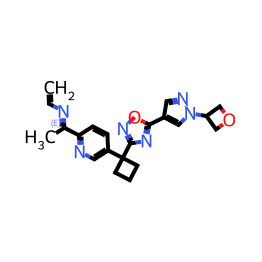 C=C/N=C(\C)c1ccc(C2(c3noc(-c4cnn(C5COC5)c4)n3)CCC2)cn1